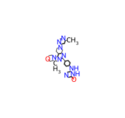 Cc1cc(N2CCc3c(nc(-c4ccc(Nc5cncc(=O)[nH]5)cc4)nc3N3CCOCC3C)C2)ncn1